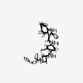 CC(C)(C)OC(=O)N1CCC(Nc2ccc(NC=C3C(=O)Nc4ccccc43)cc2F)C1